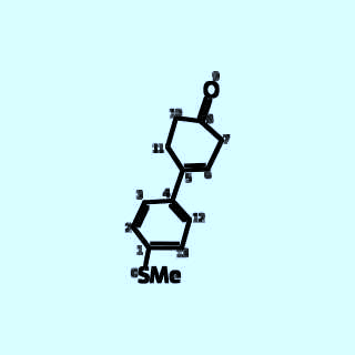 CSc1ccc(C2=CCC(=O)CC2)cc1